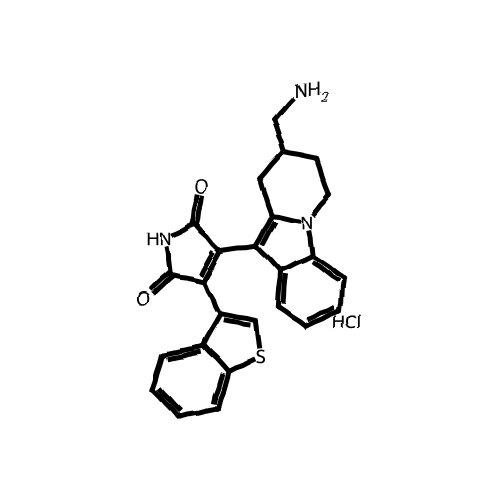 Cl.NCC1CCn2c(c(C3=C(c4csc5ccccc45)C(=O)NC3=O)c3ccccc32)C1